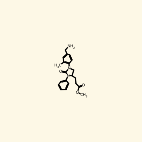 COC(=O)CCC1CN(c2ccc(CN)cc2C)C(=O)N1c1ccccc1